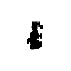 C=Cc1cnc(Nc2ccc(N3CCC(N)CC3)cc2OC)nc1Nc1ccc2nccnc2c1N(C)S(C)(=O)=O